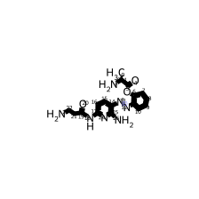 C[C@H](N)C(=O)Oc1ccccc1/N=N/c1ccc(NC(=O)CCN)nc1N